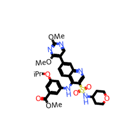 COC(=O)c1cc(Nc2c(S(=O)(=O)NC3CCOCC3)cnc3cc(-c4cnc(OC)nc4OC)ccc23)cc(OC(C)C)c1